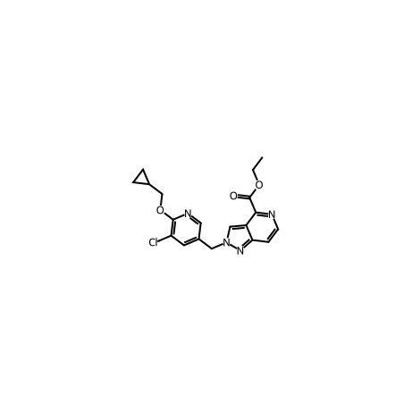 CCOC(=O)c1nccc2nn(Cc3cnc(OCC4CC4)c(Cl)c3)cc12